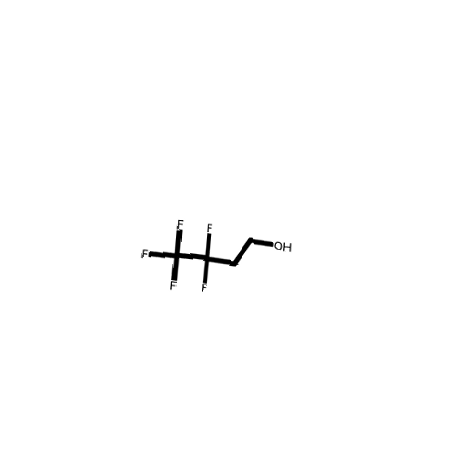 OC[CH]C(F)(F)C(F)(F)F